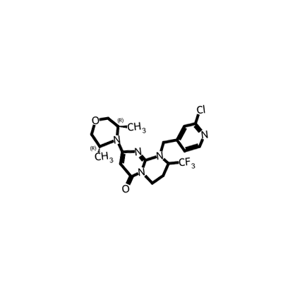 C[C@@H]1COC[C@@H](C)N1c1cc(=O)n2c(n1)N(Cc1ccnc(Cl)c1)C(C(F)(F)F)CC2